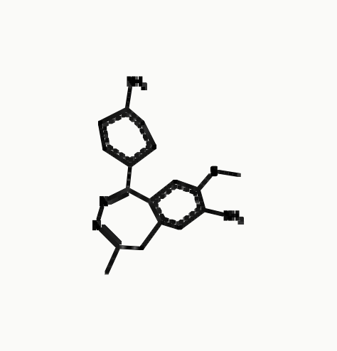 CSc1cc2c(cc1N)CC(C)=NN=C2c1ccc(N)cc1